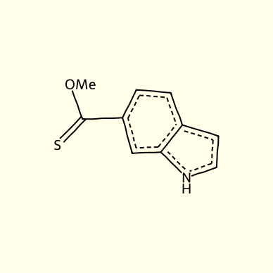 COC(=S)c1ccc2cc[nH]c2c1